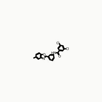 Cc1ccc2oc(-c3cccc(NC(=O)c4cc(Cl)cc(Cl)c4)c3)nc2c1